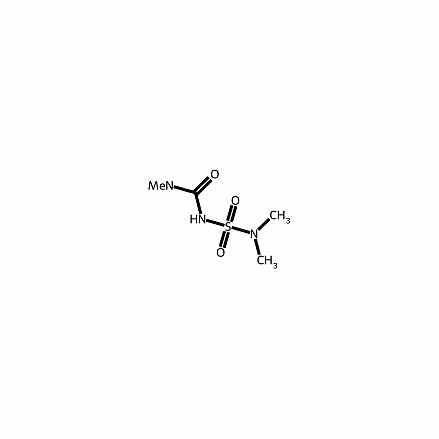 CNC(=O)NS(=O)(=O)N(C)C